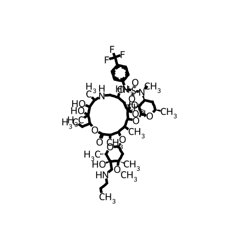 CCCNC[C@]1(O)[C@H](C)O[C@@H](OC2C(C)C(=O)OC(CC)C(C)(O)C(O)C(C)NCC(C)CC(C)(O)C(O[C@@H]3O[C@H](C)C[C@H](N(C)S(=O)(=O)Nc4ccc(C(F)(F)F)cc4)[C@H]3O)C2C)C[C@@]1(C)OC